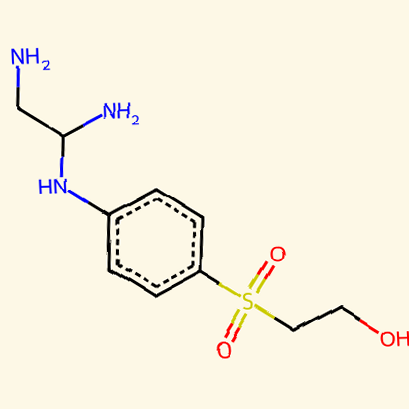 NCC(N)Nc1ccc(S(=O)(=O)CCO)cc1